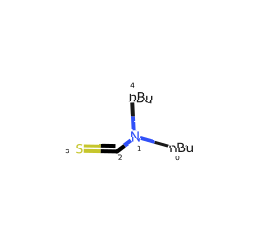 CCCCN(C=S)CCCC